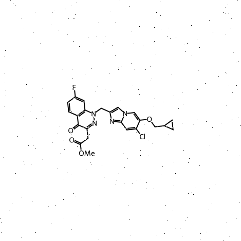 COC(=O)Cc1nn(Cc2cn3cc(OCC4CC4)c(Cl)cc3n2)c2cc(F)ccc2c1=O